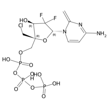 C=C1N=C(N)C=CN1[C@@H]1O[C@](CCl)(COP(=O)(O)OP(=O)(O)OP(=O)(O)O)[C@@H](O)C1(F)F